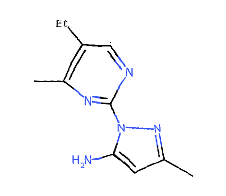 CCc1[c]nc(-n2nc(C)cc2N)nc1C